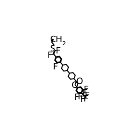 C=CCS/C(F)=C(\F)c1ccc(C2CCC(C3CCC(C(=O)Oc4cc(F)c(S(F)(F)(F)(F)F)c(F)c4)CC3)CC2)c(F)c1